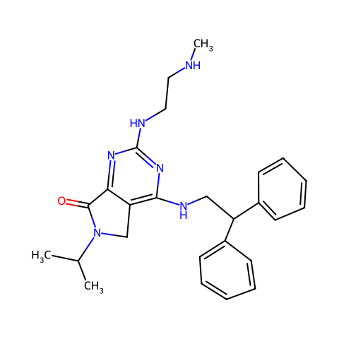 CNCCNc1nc(NCC(c2ccccc2)c2ccccc2)c2c(n1)C(=O)N(C(C)C)C2